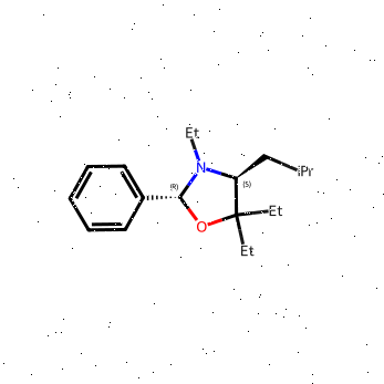 CCN1[C@@H](c2ccccc2)OC(CC)(CC)[C@@H]1CC(C)C